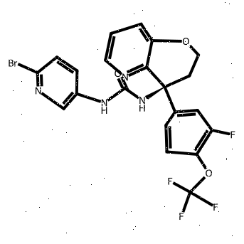 O=C(Nc1ccc(Br)nc1)N[C@]1(c2ccc(OC(F)(F)F)c(F)c2)CCOc2cccnc21